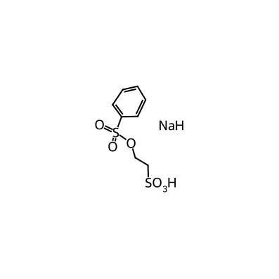 O=S(=O)(O)CCOS(=O)(=O)c1ccccc1.[NaH]